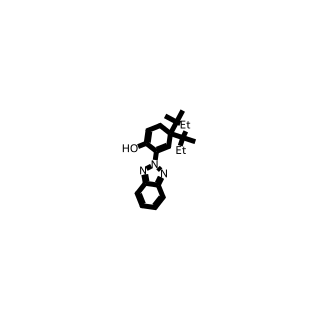 CCC(C)(C)C1(C(C)(C)CC)C=C(n2nc3ccccc3n2)C(O)=CC1